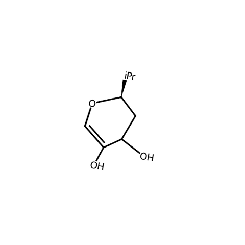 CC(C)[C@H]1CC(O)C(O)=CO1